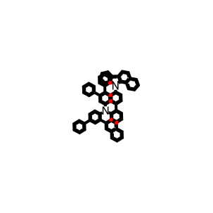 c1ccc(-c2ccc(N(c3ccc(-c4ccccc4)c(-c4ccccc4)c3)c3ccccc3-c3ccc(-n4c5ccccc5c5ccc6ccccc6c54)cc3)c(-c3ccc4ccccc4c3)c2)cc1